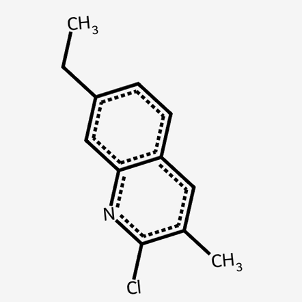 CCc1ccc2cc(C)c(Cl)nc2c1